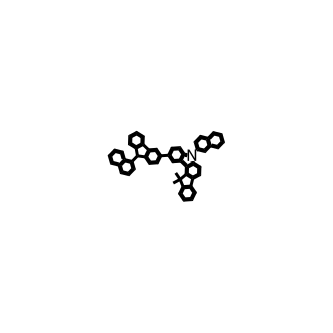 CC1(C)c2ccccc2-c2ccc3c(c21)c1cc(-c2ccc4c(c2)-c2ccccc2C4c2cccc4ccccc24)ccc1n3-c1ccc2ccccc2c1